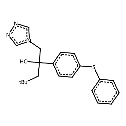 CC(C)(C)CC(O)(Cn1cnnc1)c1ccc(Sc2ccccc2)cc1